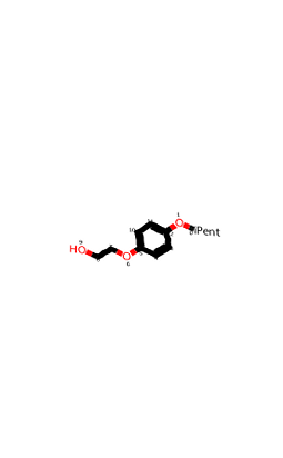 CCCC(C)Oc1ccc(OCCO)cc1